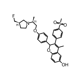 CC1=C(c2ccc(S(C)(=O)=O)cc2)C(c2ccc(OC[C@H](C)N3CC[C@@H](CF)C3)cc2)Oc2ccc(O)cc21